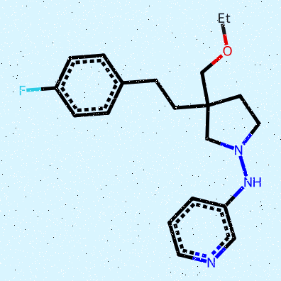 CCOCC1(CCc2ccc(F)cc2)CCN(Nc2cccnc2)C1